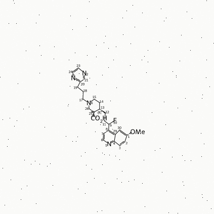 COc1ccc2nccc(C(F)CC[C@@H]3CCN(CCCc4cnccn4)C[C@@H]3C(=O)O)c2c1